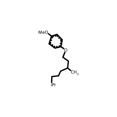 COc1ccc(OCCC(C)CCCC(C)C)cc1